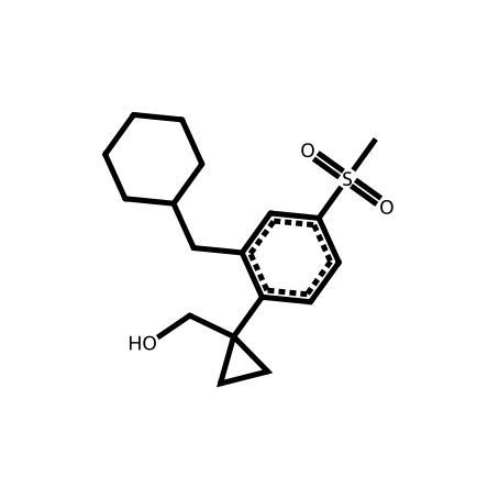 CS(=O)(=O)c1ccc(C2(CO)CC2)c(CC2CCCCC2)c1